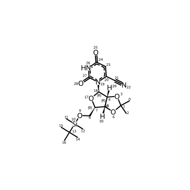 CC1(C)O[C@@H]2[C@H](O1)[C@@H](CO[Si](C)(C)C(C)(C)C)O[C@H]2n1c(C#N)cc(=O)[nH]c1=O